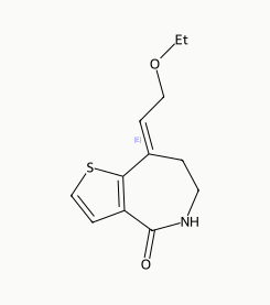 CCOC/C=C1\CCNC(=O)c2ccsc21